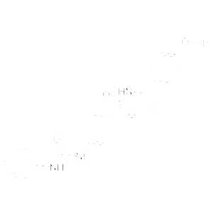 CC(C)Oc1ccc(C(=O)NS(=O)(=O)c2ccc(NC(=O)Nc3ccccc3)cc2)cc1